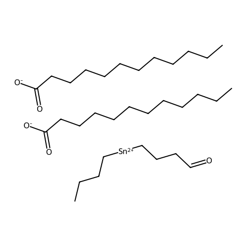 CCCCCCCCCCCC(=O)[O-].CCCCCCCCCCCC(=O)[O-].CCC[CH2][Sn+2][CH2]CCC=O